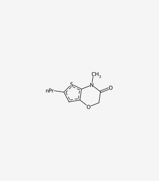 CCCc1cc2c(s1)N(C)C(=O)CO2